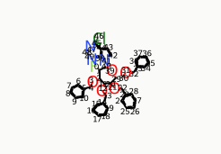 F[C@H]1[C@H](OCc2ccccc2)[C@@H](OCc2ccccc2)[C@H](OCc2ccccc2)[C@@H](COCc2ccccc2)O[C@H]1n1ccc2c(Cl)ncnc21